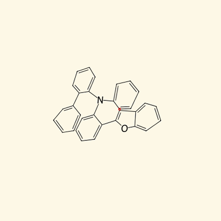 c1ccc(-c2ccccc2N(c2ccccc2)c2ccccc2-c2cc3ccccc3o2)cc1